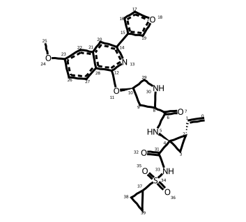 C=C[C@@H]1C[C@]1(NC(=O)C1C[C@@H](Oc2nc(-c3ccoc3)cc3cc(OC)ccc23)CN1)C(=O)NS(=O)(=O)C1CC1